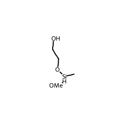 CO[SiH](C)OCCO